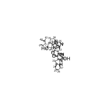 C=C[C@@H](C[C@H](O)[C@@](C)(NC(=O)[C@H](Cc1c[nH]cn1)NC(=O)C(Cc1ccccc1)NC(=O)O)C1CCCCC1)C(C)C